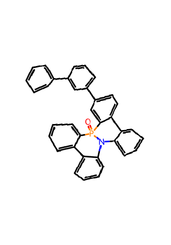 O=P12c3ccccc3-c3ccccc3N1c1ccccc1-c1ccc(-c3cccc(-c4ccccc4)c3)cc12